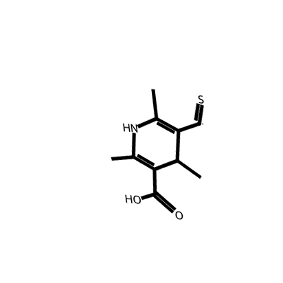 CC1=C([C]=S)C(C)C(C(=O)O)=C(C)N1